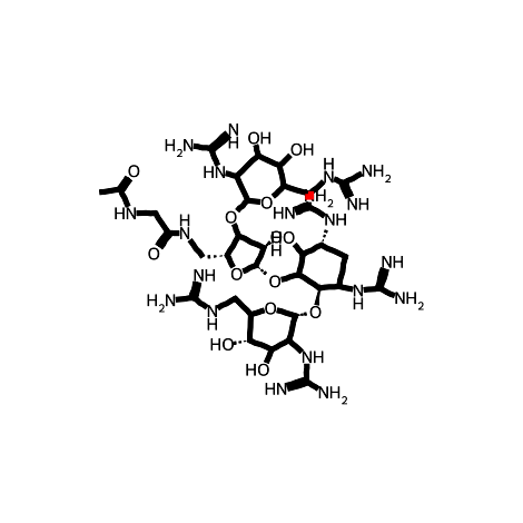 CC(=O)NCC(=O)NC[C@H]1O[C@@H](OC2C(O)[C@H](NC(=N)N)CC(NC(=N)N)[C@H]2O[C@H]2OC(CNC(=N)N)[C@@H](O)C(O)C2NC(=N)N)[C@@H](O)C1OC1OC(CNC(=N)N)C(O)C(O)C1NC(=N)N